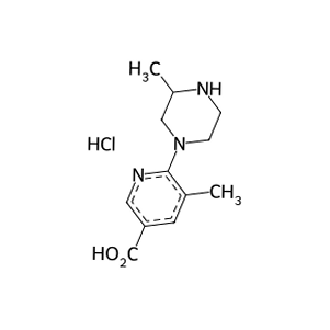 Cc1cc(C(=O)O)cnc1N1CCNC(C)C1.Cl